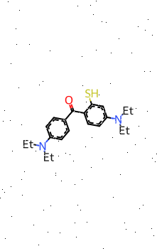 CCN(CC)c1ccc(C(=O)c2ccc(N(CC)CC)cc2S)cc1